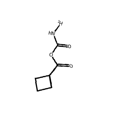 [2H]NC(=O)OC(=O)C1CCC1